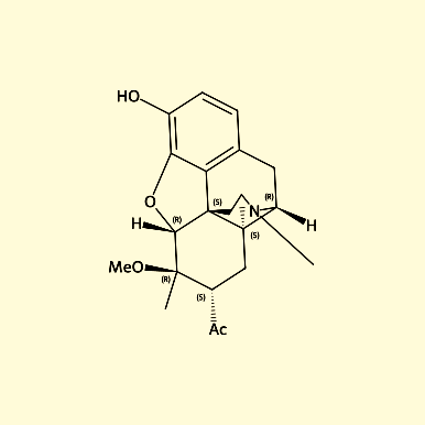 CO[C@]1(C)[C@@H](C(C)=O)C[C@]2(C)[C@H]3Cc4ccc(O)c5c4[C@@]2(CCN3C)[C@H]1O5